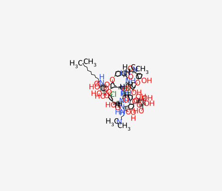 CC(C)CCCCCCCCC(=O)N[C@H]1[C@H](Oc2c3cc4cc2Oc2ccc(cc2Cl)[C@@H](O)[C@@H]2NC(=O)[C@H](NC(=O)[C@@H]4NC(=O)[C@H]4NC(=O)[C@@H](Cc5ccc(cc5)O3)NC(=O)[C@H](N(C)C)c3ccc(O)c(c3)Oc3cc(O)c(Cl)c4c3)c3ccc(O)c(c3)-c3c(O[C@H]4O[C@H](CO)[C@@H](O)[C@H](O)[C@@H]4O)cc(O)cc3[C@@H](C(=O)NCCCN(C)C)NC2=O)O[C@H](C(=O)O)[C@@H](O)[C@@H]1O